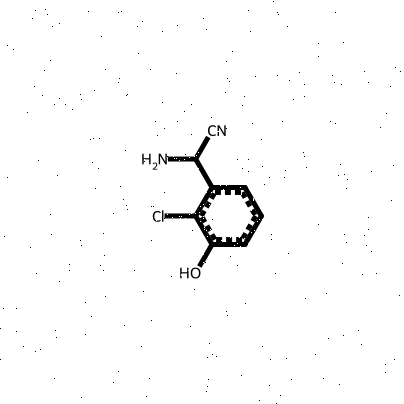 N#CC(N)c1cccc(O)c1Cl